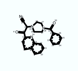 N#CC(C(=O)c1ccc2ccccc2n1)N1CCN(C(=O)c2ccccc2)CC1